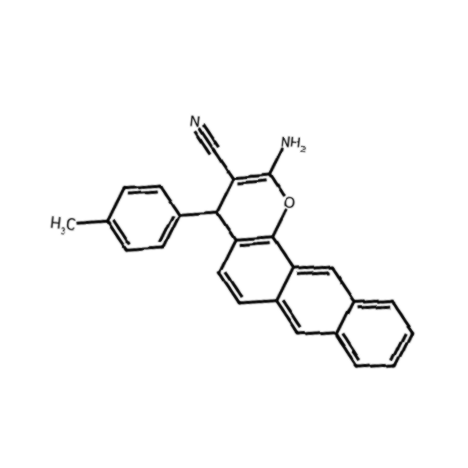 Cc1ccc(C2C(C#N)=C(N)Oc3c2ccc2cc4ccccc4cc32)cc1